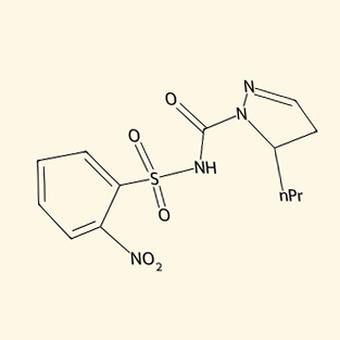 CCCC1CC=NN1C(=O)NS(=O)(=O)c1ccccc1[N+](=O)[O-]